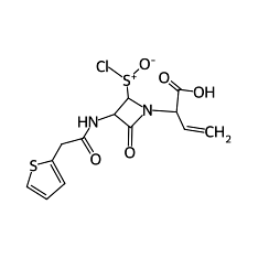 C=CC(C(=O)O)N1C(=O)C(NC(=O)Cc2cccs2)C1[S+]([O-])Cl